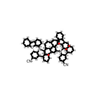 [C-]#[N+]c1ccc(N(c2ccc3cc(N(c4ccc(C#N)cc4-c4ccccc4)c4cccc5c4oc4ccccc45)c4cccc5ccc2c3c54)c2cccc3c2oc2ccccc23)c(-c2ccccc2)c1